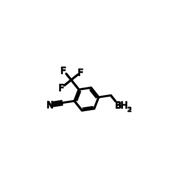 BCc1ccc(C#N)c(C(F)(F)F)c1